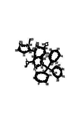 COc1nn(C(c2ccccc2)(c2ccccc2)c2ccccc2)c2cc(Cl)nc(-c3ccnn3C)c12